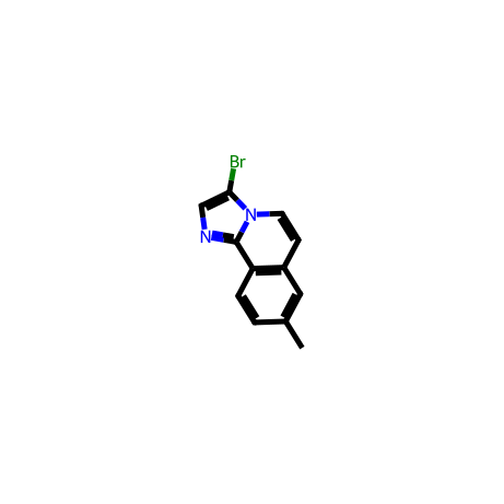 Cc1ccc2c(ccn3c(Br)cnc23)c1